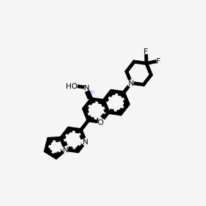 O/N=c1\cc(-c2cc3cccn3cn2)oc2ccc(N3CCC(F)(F)CC3)cc12